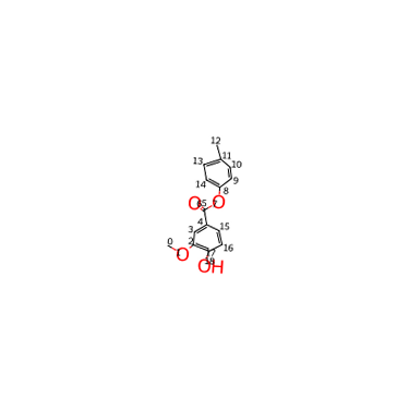 COc1cc(C(=O)Oc2ccc(C)cc2)ccc1O